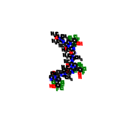 C=CC(=O)N1[C@H](C)CN(c2c(C#N)c(=O)n(-c3c(C)cc(/C=C\C(=O)N4[C@H](C)CN(c5c(C#N)c(=O)n(-c6c(C)cc(/C=C\C(=O)N7[C@H](C)CN(c8c(C#N)c(=O)n(-c9c(C)ccnc9C(C)C)c9nc(-c%10c(Cl)c(O)c(F)c(Cl)c%10Cl)c(Cl)cc89)C[C@@H]7C)nc6C(C)C)c6nc(-c7c(Cl)c(O)c(F)c(Cl)c7Cl)c(Cl)cc56)C[C@@H]4C)nc3C(C)C)c3nc(-c4c(Cl)c(O)c(F)c(Cl)c4Cl)c(Cl)cc23)C[C@@H]1C